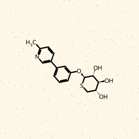 Cc1ccc(-c2cccc(O[C@@H]3SC[C@@H](O)[C@H](O)[C@H]3O)c2)cn1